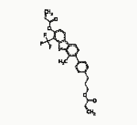 C=CC(=O)OCCCc1ccc(-c2ccc3c(sc4c(C(F)(F)F)c(OC(=O)C=C)ccc43)c2C)cc1